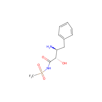 N[C@@H](Cc1ccccc1)[C@H](O)C(=O)NS(=O)(=O)C(F)(F)F